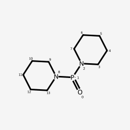 O=[P](N1CCCCC1)N1CCCCC1